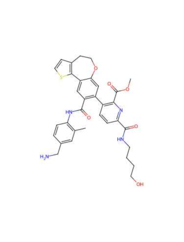 COC(=O)c1nc(C(=O)NCCCCO)ccc1-c1cc2c(cc1C(=O)Nc1ccc(CN)cc1C)-c1sccc1CCO2